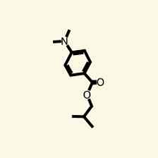 CC(C)COC(=O)c1ccc(N(C)C)cc1